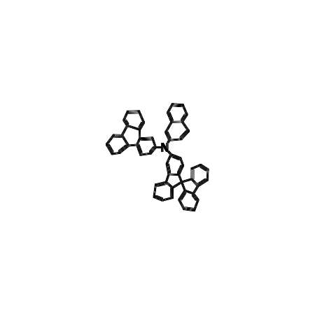 c1ccc2c(c1)-c1ccccc1C21c2ccccc2-c2cc(N(c3ccc4ccccc4c3)c3ccc4c5ccccc5c5ccccc5c4c3)ccc21